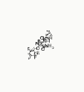 Cc1cc(F)c(COc2nsc(NC(=O)NCC(C)C)c2C(N)=O)c(F)c1F